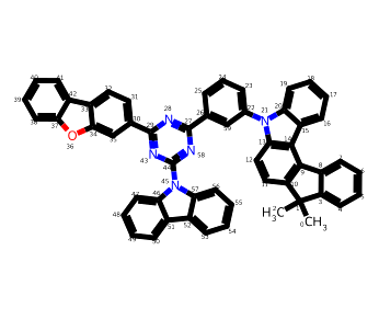 CC1(C)c2ccccc2-c2c1ccc1c2c2ccccc2n1-c1cccc(-c2nc(-c3ccc4c(c3)oc3ccccc34)nc(-n3c4ccccc4c4ccccc43)n2)c1